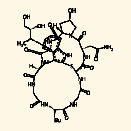 CC[C@H](C)[C@@H]1NC(=O)CNC(=O)[C@@H]2Cc3c([nH]c4ccccc34)S[C@H](NC(=O)CNC1=O)C(=O)N[C@@H](CC(N)=O)C(=O)N1C[C@H](O)C[C@H]1C(=O)N[C@@H]([C@@H](C)[C@@H](O)CO)C(=O)N2